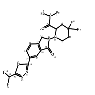 CCN(CC)C(=O)C1CC(F)(F)CCN1N1Cc2ccc(-c3nnc(C(F)F)o3)cc2C1=O